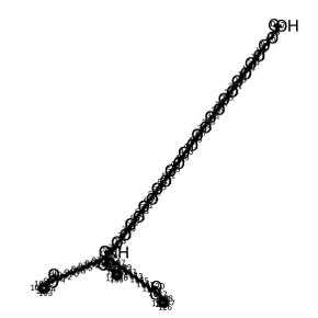 O=C(O)CCOCCOCCOCCOCCOCCOCCOCCOCCOCCOCCOCCOCCOCCOCCOCCOCCOCCOCCOCCOCCOCCOCCOCCOCCNC(=O)C(CCCCCCCCCCCCCCC(=O)OCc1ccccc1)(CCCCCCCCCCCCCCC(=O)OCc1ccccc1)C(=O)OCc1ccccc1